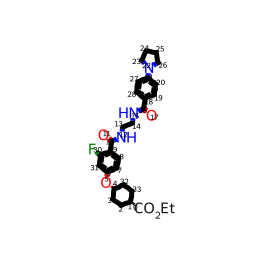 CCOC(=O)[C@H]1CC[C@@H](Oc2ccc(C(=O)NCCNC(=O)c3ccc(N4CCCC4)cc3)c(F)c2)CC1